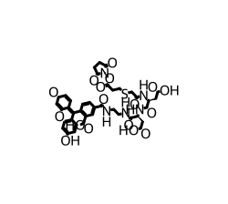 O=C(O)C[C@H](NC(=O)CSCCC(=O)ON1C(=O)CCC1=O)C(=O)N[C@@H](CC(=O)O)C(=O)NCCNC(=O)c1ccc(-c2c3ccc(=O)cc-3oc3cc(O)ccc23)c(C(=O)O)c1